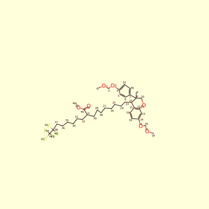 COCOc1ccc(C2(C)COc3cc(OCOC)ccc3C2CCCCCCCCC(CCCCCCC(F)(F)C(F)(F)F)C(=O)OC)cc1